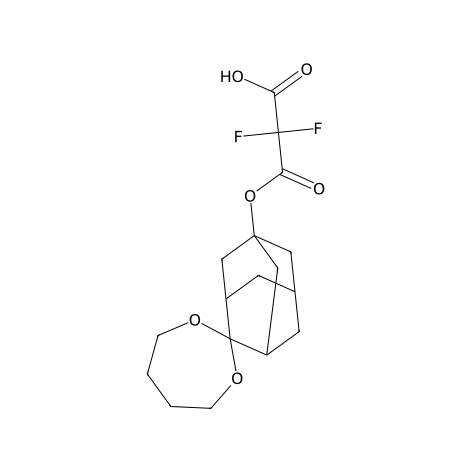 O=C(O)C(F)(F)C(=O)OC12CC3CC(C1)C1(OCCCCO1)C(C3)C2